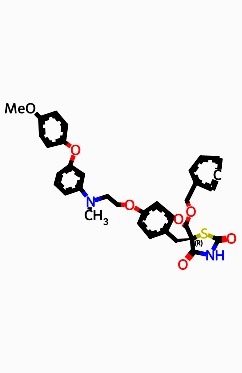 COc1ccc(Oc2cccc(N(C)CCOc3ccc(C[C@@]4(C(=O)OCc5ccccc5)SC(=O)NC4=O)cc3)c2)cc1